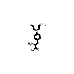 CCCN(CCCl)c1ccc(C[C@H](N)C(=O)O)cc1